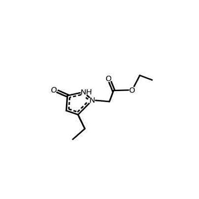 CCOC(=O)Cn1[nH]c(=O)cc1CC